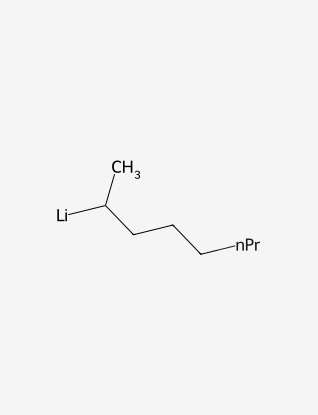 [Li][CH](C)CCCCCC